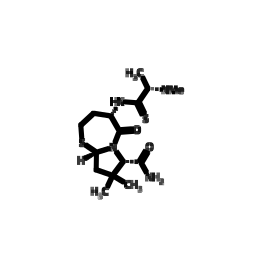 CN[C@@H](C)C(=S)N[C@H]1CCS[C@H]2CC(C)(C)[C@@H](C(N)=O)N2C1=O